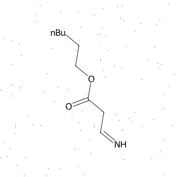 CCCCCCOC(=O)CC=N